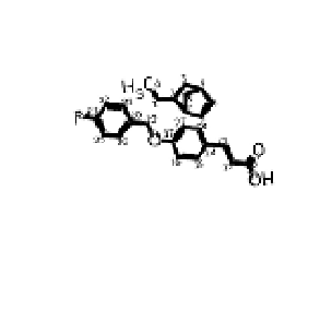 CCC1CC2C=CC1C2.O=C(O)C=Cc1ccc(OCc2ccc(F)cc2)cc1